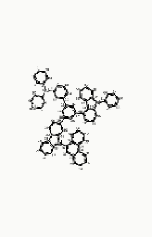 c1ccc(N(c2ccncc2)c2cccc(-c3cc(-c4ccc5c6ccccc6n(-c6cc7ccccc7c7ccccc67)c5c4)cc(-c4cccc5c4c4ccccc4n5-c4ccccc4)c3)c2)cc1